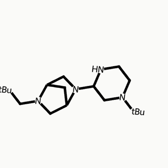 CC(C)(C)CN1CC2CC1CN2C1CN(C(C)(C)C)CCN1